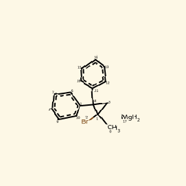 CC1(Br)CC1(c1ccccc1)c1ccccc1.[MgH2]